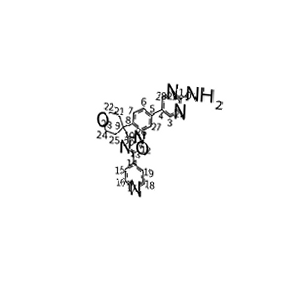 Nc1ncc(-c2ccc(C3(c4noc(-c5ccncc5)n4)CCOCC3)cc2)cn1